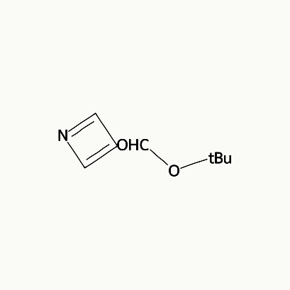 C1=CN=C1.CC(C)(C)OC=O